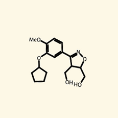 COc1ccc(C2=NOC(CO)C2CO)cc1OC1CCCC1